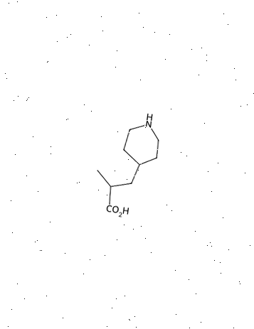 CC(CC1CCNCC1)C(=O)O